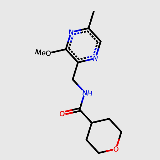 COc1nc(C)cnc1CNC(=O)C1CCOCC1